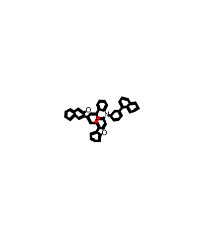 C1=CC(N(c2ccc3c(c2)oc2ccccc23)c2ccccc2-c2cccc3c2oc2cc4ccccc4cc23)CC(c2cccc3ccccc23)=C1